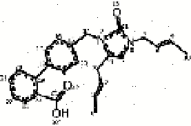 CC=CCc1cn(CC=CC)c(=O)n1Cc1ccc(-c2ccccc2C(=O)O)cc1